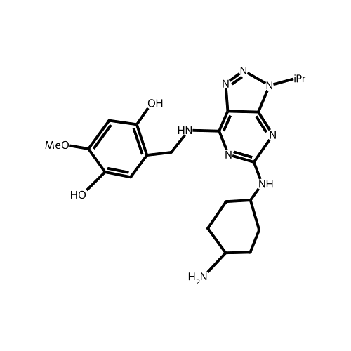 COc1cc(O)c(CNc2nc(NC3CCC(N)CC3)nc3c2nnn3C(C)C)cc1O